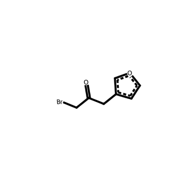 O=C(CBr)Cc1ccoc1